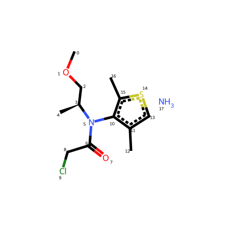 COC[C@H](C)N(C(=O)CCl)c1c(C)csc1C.N